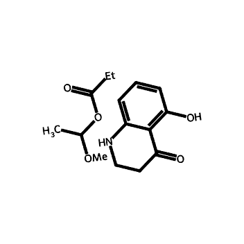 CCC(=O)OC(C)OC.O=C1CCNc2cccc(O)c21